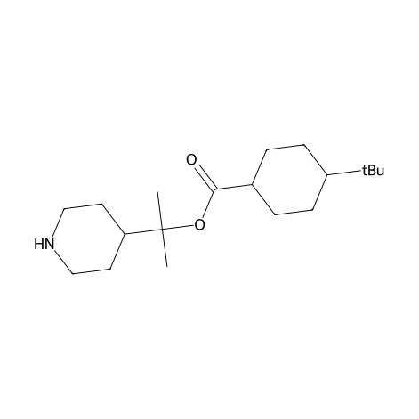 CC(C)(C)C1CCC(C(=O)OC(C)(C)C2CCNCC2)CC1